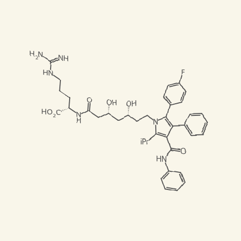 CC(C)c1c(C(=O)Nc2ccccc2)c(-c2ccccc2)c(-c2ccc(F)cc2)n1CC[C@@H](O)C[C@@H](O)CC(=O)N[C@@H](CCCNC(=N)N)C(=O)O